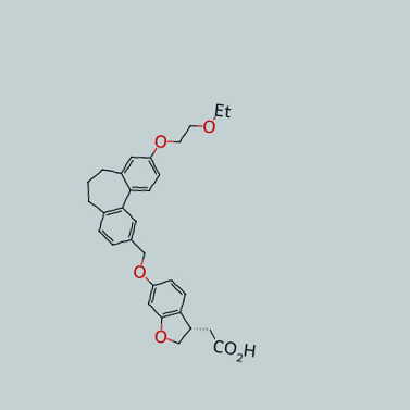 CCOCCOc1ccc2c(c1)CCCc1ccc(COc3ccc4c(c3)OC[C@H]4CC(=O)O)cc1-2